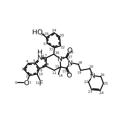 COc1ccc2[nH]c3c(c2c1F)CC1(C)C(=O)N(CCCN2CC=CCC2)C(=O)N1C3c1cccc(O)c1